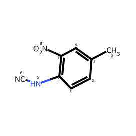 Cc1ccc(NC#N)c([N+](=O)[O-])c1